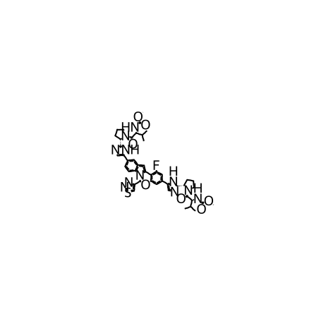 COC(=O)N[C@H](C(=O)N1CCC[C@H]1c1ncc(-c2cc(F)c3c(c2)OC(c2csnn2)n2c-3cc3cc(-c4cnc([C@@H]5CCCN5C(=O)[C@@H](NC(=O)OC)C(C)C)[nH]4)ccc32)[nH]1)C(C)C